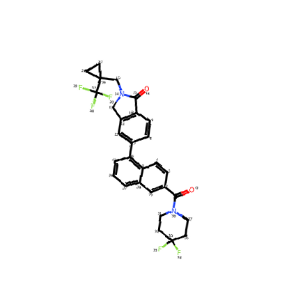 O=C(c1ccc2c(-c3ccc4c(c3)CN(CC3(C(F)(F)F)CC3)C4=O)cccc2c1)N1CCC(F)(F)CC1